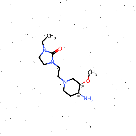 CCN1CCN(CCN2CC[C@@H](N)[C@@H](OC)C2)C1=O